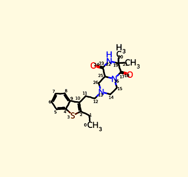 CCc1sc2ccccc2c1CCN1CCN2C(=O)C(C)(C)NC(=O)C2C1